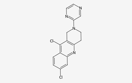 Clc1ccc2c(Cl)c3c(nc2c1)CCN(c1cnccn1)C3